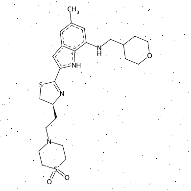 Cc1cc(NCC2CCOCC2)c2[nH]c(C3=N[C@@H](CCN4CCS(=O)(=O)CC4)CS3)cc2c1